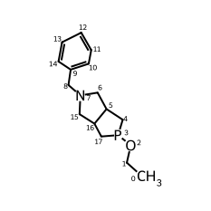 CCOP1CC2CN(Cc3ccccc3)CC2C1